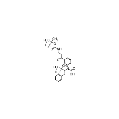 CC(C)(C)OC(=O)NCCC(=O)c1cccc(N(C(=O)O)C(Cc2ccccc2)C(C)(C)C)c1